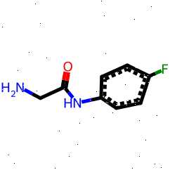 NCC(=O)Nc1ccc(F)cc1